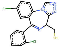 SCC1N=C(c2ccccc2Cl)c2cc(Cl)ccc2-n2cnnc21